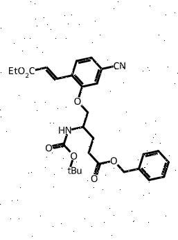 CCOC(=O)C=Cc1ccc(C#N)cc1OCC(CCC(=O)OCc1ccccc1)NC(=O)OC(C)(C)C